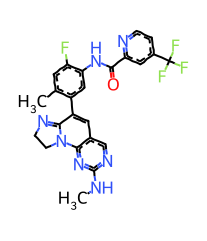 CNc1ncc2c(n1)N1CCN=C1C(c1cc(NC(=O)c3cc(C(F)(F)F)ccn3)c(F)cc1C)=C2